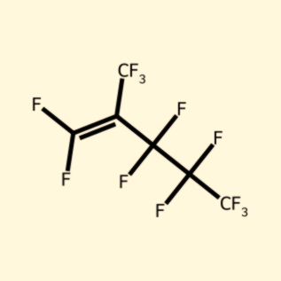 FC(F)=C(C(F)(F)F)C(F)(F)C(F)(F)C(F)(F)F